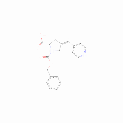 O=C(O)[C@@H]1C/C(=C/c2ccncc2)CN1C(=O)OCc1ccccc1